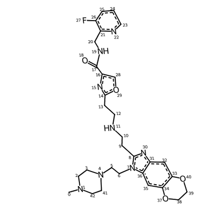 CN1CCN(CCn2c(CCNCCc3nc(C(=O)NCc4ncccc4F)co3)nc3cc4c(cc32)OCCO4)CC1